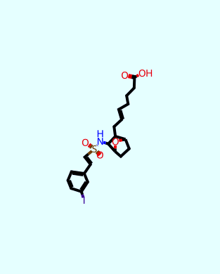 O=C(O)CCCC=CCC1C2CCC(O2)C1NS(=O)(=O)C=Cc1cccc(I)c1